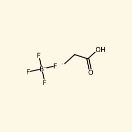 F[B-](F)(F)F.[CH2]CC(=O)O